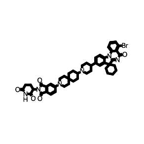 O=C1CCC(N2C(=O)c3ccc(N4CCC5(CCC(N6CCC(c7ccc8c(c7)C7(CCCCC7)c7nc(=O)c9c(Br)cccc9n7-8)CC6)CC5)CC4)cc3C2=O)C(=O)N1